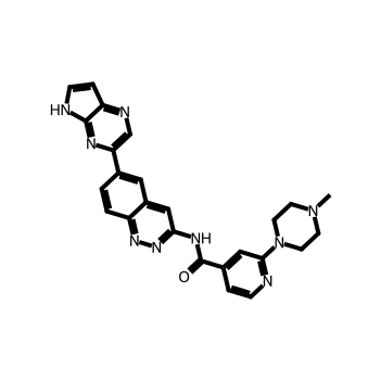 CN1CCN(c2cc(C(=O)Nc3cc4cc(-c5cnc6cc[nH]c6n5)ccc4nn3)ccn2)CC1